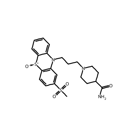 CS(=O)(=O)c1ccc2c(c1)N(CCCN1CCC(C(N)=O)CC1)c1ccccc1[S@+]2[O-]